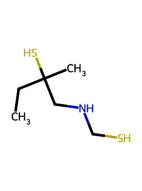 CCC(C)(S)CNCS